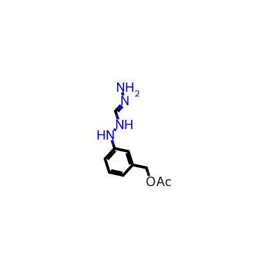 CC(=O)OCc1cccc(NNC=NN)c1